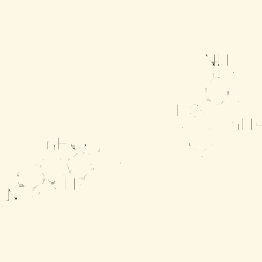 CCCCCCC(c1ccc(CCCCCCCc2ccc(C(CCCCCC)c3ccc(N)cc3C)cc2)cc1)c1ccc(N)cc1C